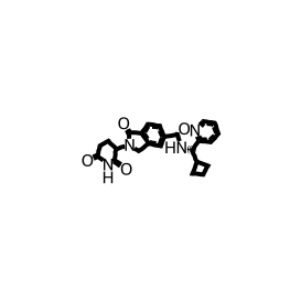 O=C1CCC(N2Cc3cc(C(=O)N[C@H](c4ccccn4)C4CCC4)ccc3C2=O)C(=O)N1